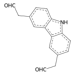 O=CCc1ccc2[nH]c3ccc(CC=O)cc3c2c1